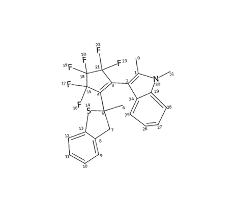 Cc1c(C2=C(C3(C)Cc4ccccc4S3)C(F)(F)C(F)(F)C2(F)F)c2ccccc2n1C